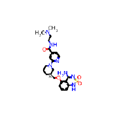 CN(C)CCNC(=O)c1ccnc(N2CCC[C@H](COc3cccc4c3C(N)=NS(=O)(=O)N4)C2)c1